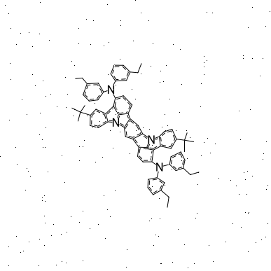 CCc1cccc(N(c2cccc(CC)c2)c2ccc3c4cc5c(cc4n4c6ccc(C(C)(C)C)cc6c2c34)c2ccc(N(c3cccc(CC)c3)c3cccc(CC)c3)c3c4cc(C(C)(C)C)ccc4n5c23)c1